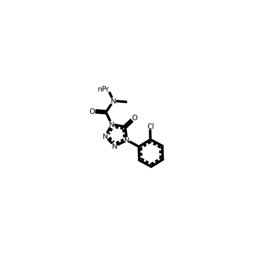 CCCN(C)C(=O)n1nnn(-c2ccccc2Cl)c1=O